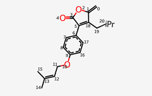 C=C1OC(=O)C(c2ccc(OCC=C(C)C)cc2)=C1CC(C)C